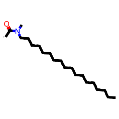 [CH2]C(=O)N(C)CCCCCCCCCCCCCCCCCC